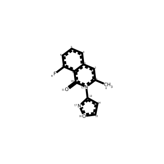 Cc1cc2cccc(F)c2c(=O)n1-c1ccon1